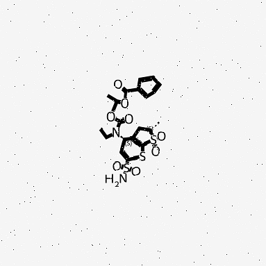 CCN(C(=O)OC(C)OC(=O)c1ccccc1)[C@H]1C=C(S(N)(=O)=O)SC2=C1C[C@H](C)S2(=O)=O